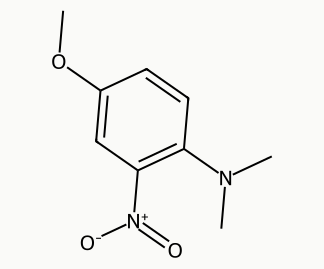 COc1ccc(N(C)C)c([N+](=O)[O-])c1